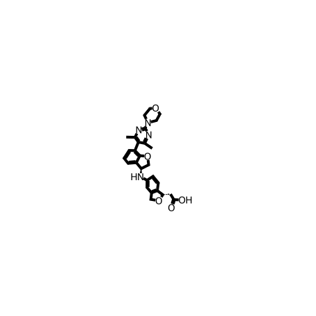 Cc1nc(N2CCOCC2)nc(C)c1-c1cccc2c1OC[C@H]2Nc1ccc2c(c1)CO[C@H]2CC(=O)O